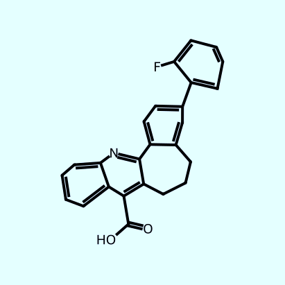 O=C(O)c1c2c(nc3ccccc13)-c1ccc(-c3ccccc3F)cc1CCC2